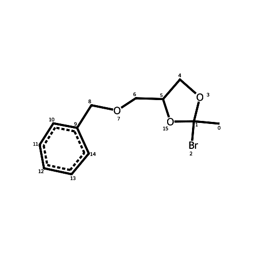 CC1(Br)OCC(COCc2ccccc2)O1